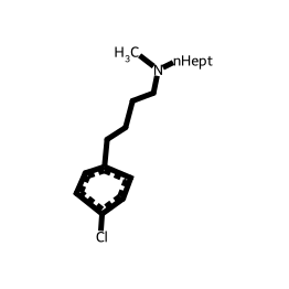 CCCCCCCN(C)CCCCc1ccc(Cl)cc1